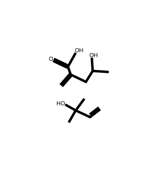 C=C(CC(C)O)C(=O)O.C=CC(C)(C)O